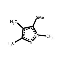 CSc1c(C)c(C(F)(F)F)nn1C